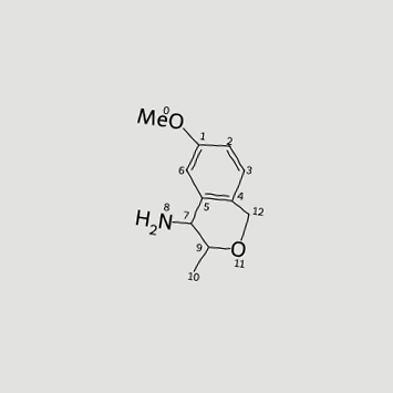 COc1ccc2c(c1)C(N)C(C)OC2